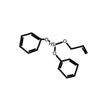 C=CCO[SiH](Oc1ccccc1)Oc1ccccc1